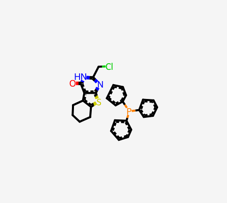 O=c1[nH]c(CCl)nc2sc3c(c12)CCCC3.c1ccc(P(c2ccccc2)c2ccccc2)cc1